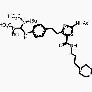 CC(=O)Nc1nc(CCc2ccc(NC(N(C(=O)O)C(C)(C)C)N(C(=O)O)C(C)(C)C)cc2)c(C(=O)NCCCN2CCOCC2)s1